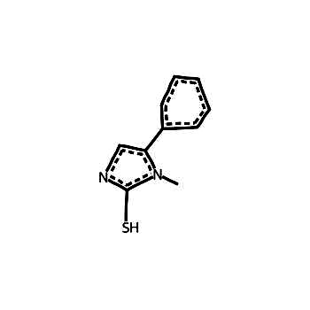 Cn1c(-c2ccccc2)cnc1S